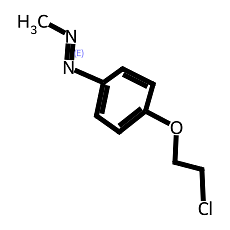 C/N=N/c1ccc(OCCCl)cc1